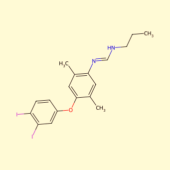 CCCNC=Nc1cc(C)c(Oc2ccc(I)c(I)c2)cc1C